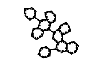 c1ccc(-c2nc3ccccc3c3c2cc(-c2c4ccccc4c(-c4cccnc4)c4ccccc24)c2ccccc23)cc1